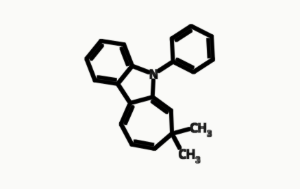 CC1(C)C=CC=c2c(n(-c3ccccc3)c3ccccc23)=C1